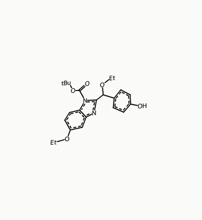 CCOc1ccc2c(c1)nc(C(OCC)c1ccc(O)cc1)n2C(=O)OC(C)(C)C